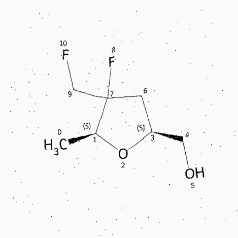 C[C@@H]1O[C@H](CO)CC1(F)CF